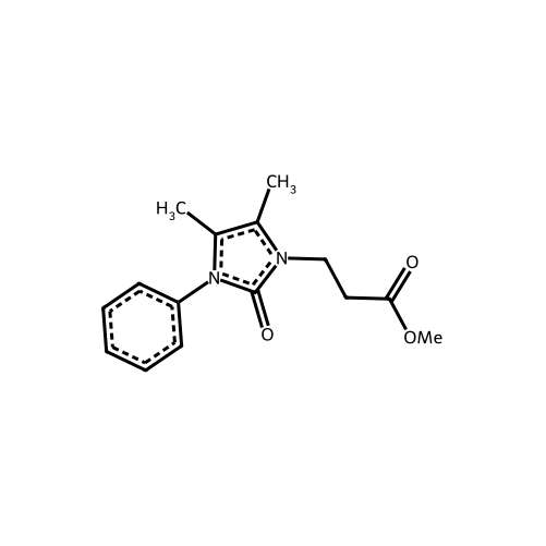 COC(=O)CCn1c(C)c(C)n(-c2ccccc2)c1=O